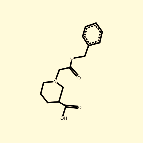 O=C(CN1CCCC(C(=O)O)C1)OCc1ccccc1